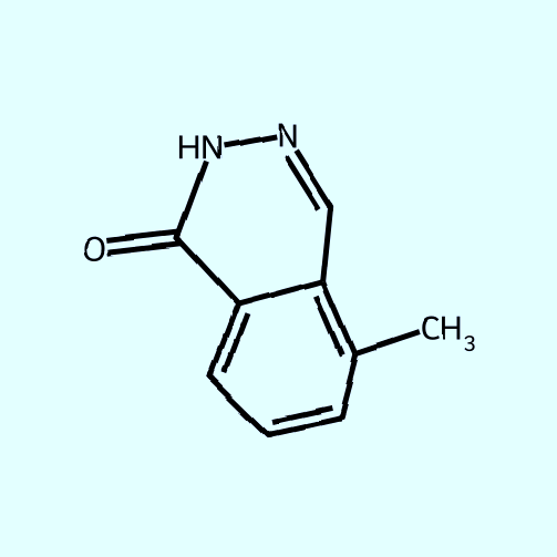 Cc1cccc2c(=O)[nH]ncc12